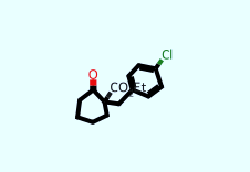 CCOC(=O)C1(Cc2ccc(Cl)cc2)CCCCC1=O